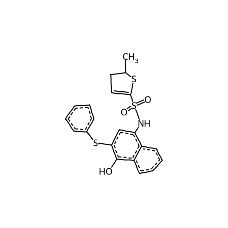 CC1CC=C(S(=O)(=O)Nc2cc(Sc3ccccc3)c(O)c3ccccc23)S1